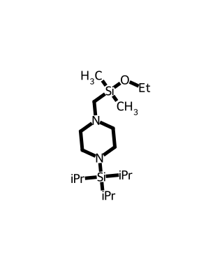 CCO[Si](C)(C)CN1CCN([Si](C(C)C)(C(C)C)C(C)C)CC1